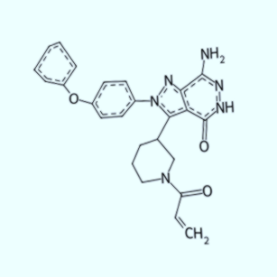 C=CC(=O)N1CCCC(c2c3c(=O)[nH]nc(N)c3nn2-c2ccc(Oc3ccccc3)cc2)C1